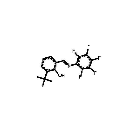 CC(C)(C)c1cccc(C=Nc2c(F)c(F)c(F)c(F)c2F)c1O